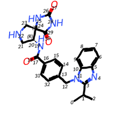 CC(C)c1nc2ccccc2n1Cc1ccc(C(=O)N[C@@H]2CNC[C@]23NC(=O)NC3=O)cc1